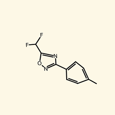 Cc1ccc(-c2noc(C(F)F)n2)cc1